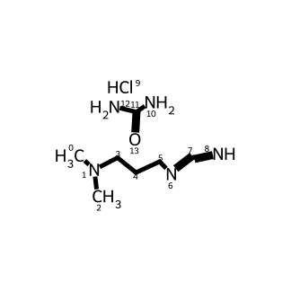 CN(C)CCCN=C=N.Cl.NC(N)=O